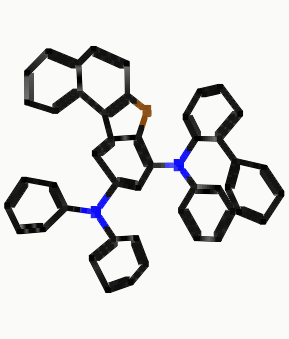 c1ccc(-c2ccccc2N(c2ccccc2)c2cc(N(c3ccccc3)c3ccccc3)cc3c2sc2ccc4ccccc4c23)cc1